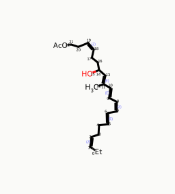 CC/C=C\CC/C=C/C=C\C=C\C(C)=C\C(O)CC/C=C\CCOC(C)=O